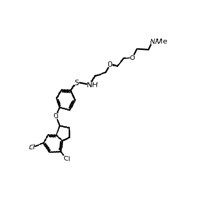 CNCCOCCOCCNSc1ccc(OC2CCc3c(Cl)cc(Cl)cc32)cc1